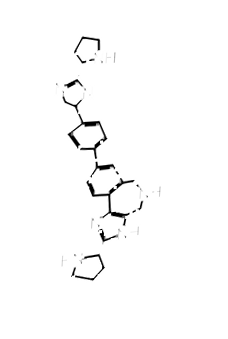 c1cc(C2CN=C([C@@H]3CCCN3)N2)ccc1-c1ccc2c(c1)CNCc1[nH]c([C@@H]3CCCN3)nc1-2